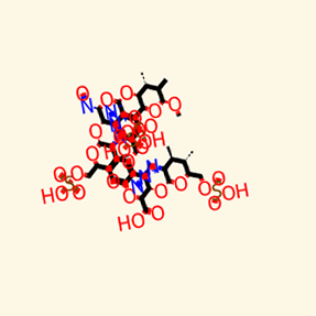 CO[C@H]1OC(COS(=O)(=O)O)[C@@H](O[C@@H]2O[C@@H](N=O)[C@@H](O[C@H]3OC(COS(=O)(=O)O)[C@@H](O[C@@H]4OC(C(=O)O)[C@@H](O[C@H]5OC(COS(=O)(=O)O)[C@@H](C)[C@H](C)C5N=[N+]=[N-])[C@H](C)C4OCc4ccccc4)[C@H](C)C3N=[N+]=[N-])C(OCc3ccccc3)C2OS(=O)(=O)O)[C@H](C)C1C